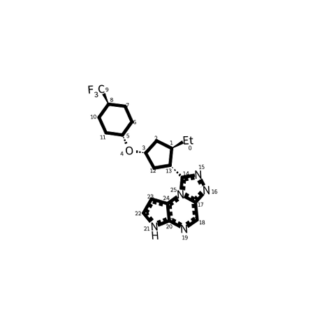 CC[C@@H]1C[C@@H](O[C@H]2CC[C@H](C(F)(F)F)CC2)C[C@H]1c1nnc2cnc3[nH]ccc3n12